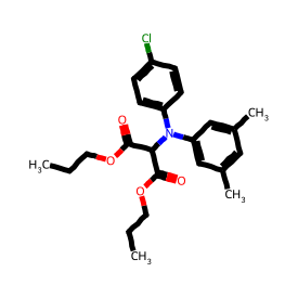 CCCOC(=O)C(C(=O)OCCC)N(c1ccc(Cl)cc1)c1cc(C)cc(C)c1